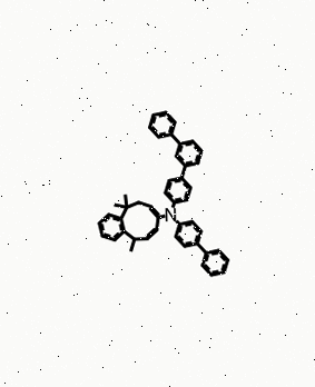 CC1/C=C\C(N(c2ccc(-c3ccccc3)cc2)c2ccc(-c3cccc(-c4ccccc4)c3)cc2)=C/CC(C)(C)c2ccccc21